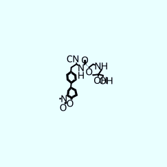 Cn1c(=O)oc2ccc(-c3ccc(C[C@@H](C#N)NC(=O)[C@@H]4CNCC(O)(CO)CO4)cc3)cc21